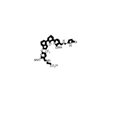 COc1nc(-c2cccc(-c3cccc4c3CC[C@@H]4Oc3nc(OC)c(CNCCC(=O)O)cc3C(F)(F)F)c2Cl)ccc1CNC[C@@H]1CCC(=O)N1